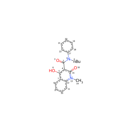 CCCCN(C(=O)c1c(O)c2ccccc2n(C)c1=O)c1ccccc1